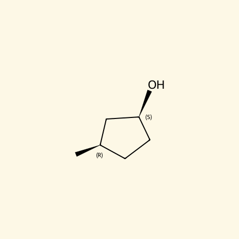 C[C@@H]1CC[C@H](O)C1